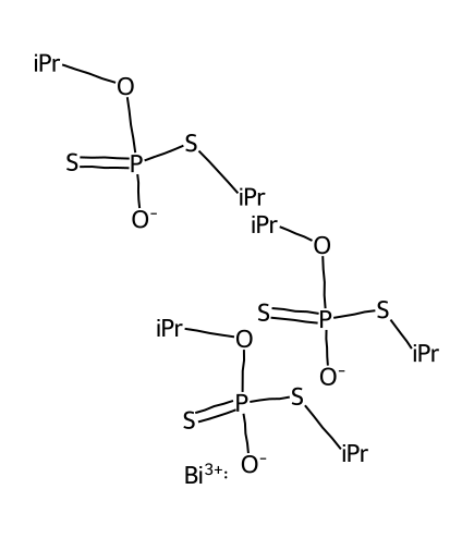 CC(C)OP([O-])(=S)SC(C)C.CC(C)OP([O-])(=S)SC(C)C.CC(C)OP([O-])(=S)SC(C)C.[Bi+3]